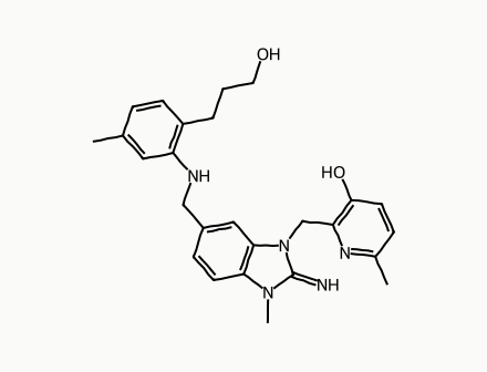 Cc1ccc(CCCO)c(NCc2ccc3c(c2)n(Cc2nc(C)ccc2O)c(=N)n3C)c1